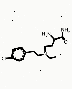 CCN(CCc1ccc(Cl)cc1)CCC(N)C(N)=O